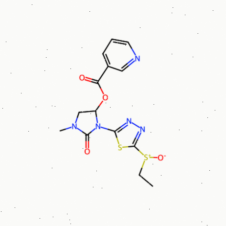 CC[S+]([O-])c1nnc(N2C(=O)N(C)CC2OC(=O)c2cccnc2)s1